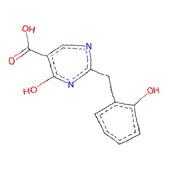 O=C(O)c1cnc(Cc2ccccc2O)nc1O